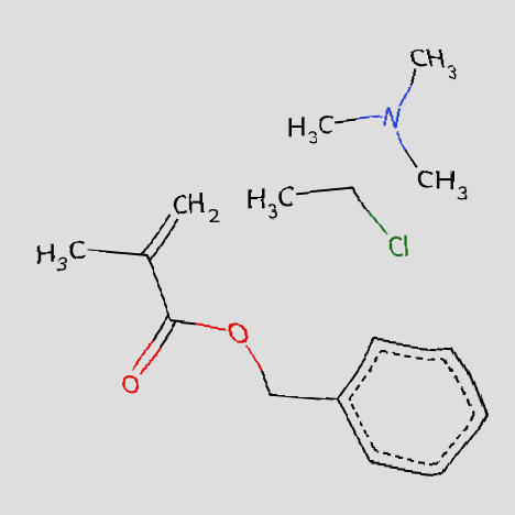 C=C(C)C(=O)OCc1ccccc1.CCCl.CN(C)C